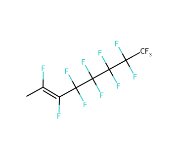 CC(F)=C(F)C(F)(F)C(F)(F)C(F)(F)C(F)(F)C(F)(F)F